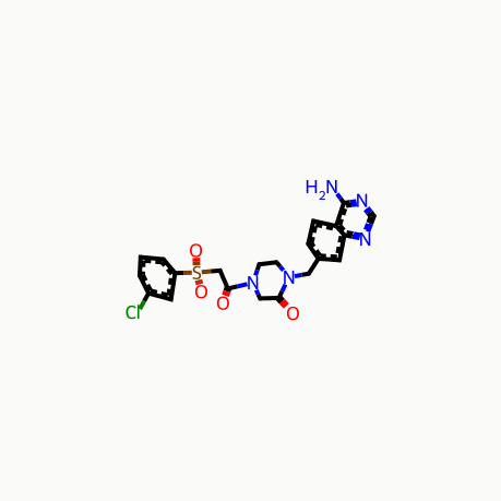 Nc1ncnc2cc(CN3CCN(C(=O)CS(=O)(=O)c4cccc(Cl)c4)CC3=O)ccc12